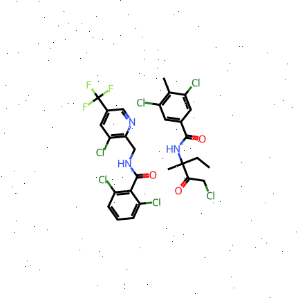 CCC(C)(NC(=O)c1cc(Cl)c(C)c(Cl)c1)C(=O)CCl.O=C(NCc1ncc(C(F)(F)F)cc1Cl)c1c(Cl)cccc1Cl